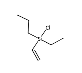 C=C[Si](Cl)(CC)CCC